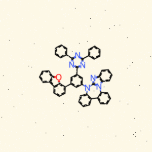 c1ccc(-c2nc(-c3ccccc3)nc(-c3cc(-c4cccc5c4oc4ccccc45)cc(N4c5ccccc5-c5ccccc5-n5c4nc4ccccc45)c3)n2)cc1